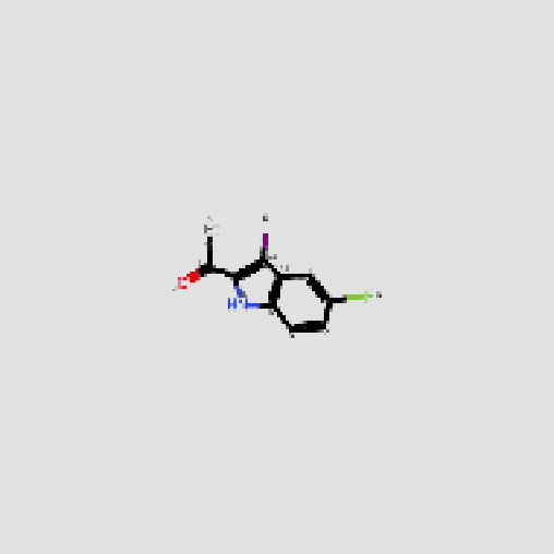 CCC(=O)c1[nH]c2ccc(F)cc2c1I